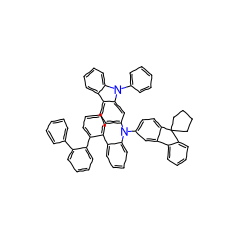 c1ccc(-c2ccccc2-c2ccccc2-c2ccccc2N(c2ccc3c(c2)-c2ccccc2C32CCCC2)c2ccc3c4ccccc4n(-c4ccccc4)c3c2)cc1